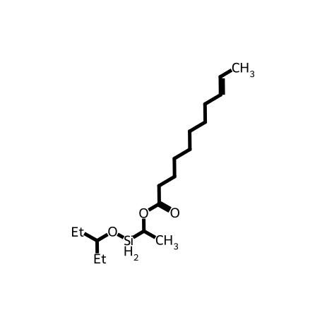 CC=CCCCCCCCC(=O)OC(C)[SiH2]OC(CC)CC